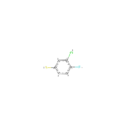 Fc1ccc([S])cc1Cl